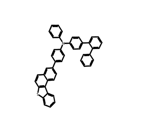 c1ccc(-c2ccccc2-c2ccc(N(c3ccccc3)c3ccc(-c4ccc5c(ccc6sc7ccccc7c65)c4)cc3)cc2)cc1